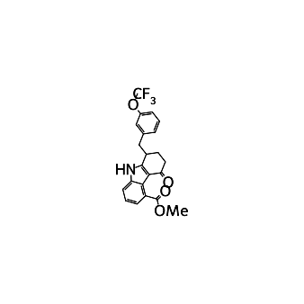 COC(=O)c1cccc2[nH]c3c(c12)C(=O)CCC3Cc1cccc(OC(F)(F)F)c1